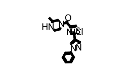 CC1CN(C(=O)c2csc(-c3cnn(-c4ccccc4)c3)n2)CCN1.Cl